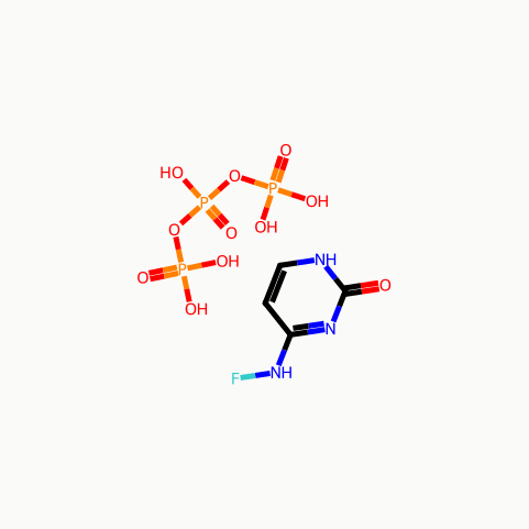 O=P(O)(O)OP(=O)(O)OP(=O)(O)O.O=c1nc(NF)cc[nH]1